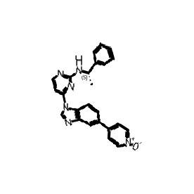 C[C@H](Nc1nccc(-n2cnc3cc(-c4cc[n+]([O-])cc4)ccc32)n1)c1ccccc1